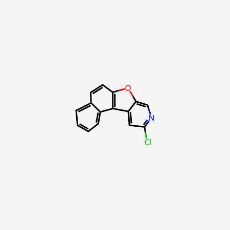 Clc1cc2c(cn1)oc1ccc3ccccc3c12